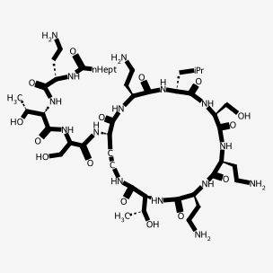 CCCCCCCC(=O)N[C@@H](CCN)C(=O)N[C@H](C(=O)NC(CO)C(=O)N[C@H]1CCNC(=O)[C@H]([C@@H](C)O)NC(=O)[C@H](CCN)NC(=O)[C@H](CCN)NC(=O)[C@H](CO)NC(=O)[C@@H](CC(C)C)NC(=O)[C@H](CCN)NC1=O)[C@@H](C)O